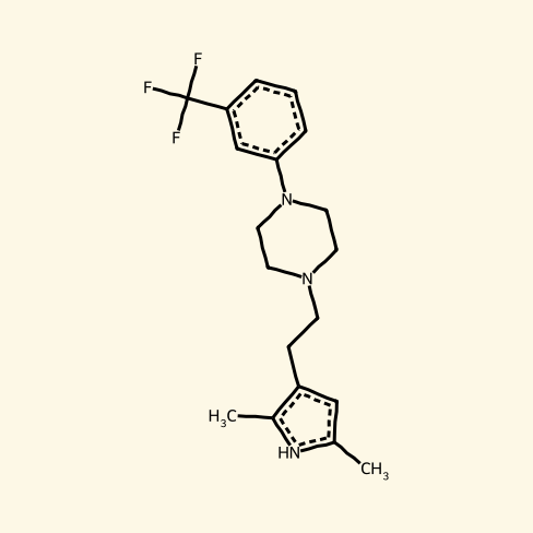 Cc1cc(CCN2CCN(c3cccc(C(F)(F)F)c3)CC2)c(C)[nH]1